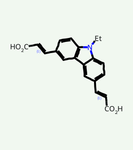 CCn1c2ccc(/C=C/C(=O)O)cc2c2cc(/C=C/C(=O)O)ccc21